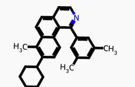 Cc1cc(C)cc(-c2nccc3ccc4c(C)c(C5CCCCC5)ccc4c23)c1